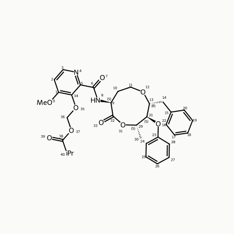 COc1ccnc(C(=O)N[C@H]2CCO[C@H](Cc3ccccc3)[C@@H](Oc3ccccc3)[C@H](C)OC2=O)c1OCOC(=O)C(C)C